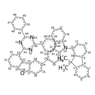 CC1(C)c2ccccc2-c2cccc(-n3c4ccccc4c4cc(-c5ccc6oc7cccc(-c8nc(-c9ccccc9)nc(-c9ccccc9)n8)c7c6c5)ccc43)c21